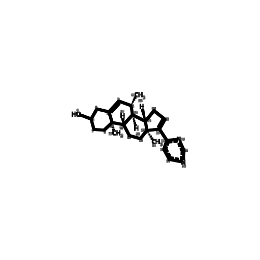 C[C@H]1C=C2CC(O)CC[C@]2(C)[C@H]2CC[C@]3(C)C(c4ccncn4)=CC[C@H]3[C@H]12